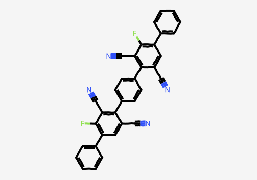 N#Cc1cc(-c2ccccc2)c(F)c(C#N)c1-c1ccc(-c2c(C#N)cc(-c3ccccc3)c(F)c2C#N)cc1